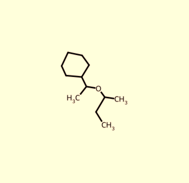 CCC(C)OC(C)C1CCCCC1